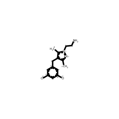 Cc1nn(CCN)c(C)c1Cc1cc(Cl)cc(Cl)c1